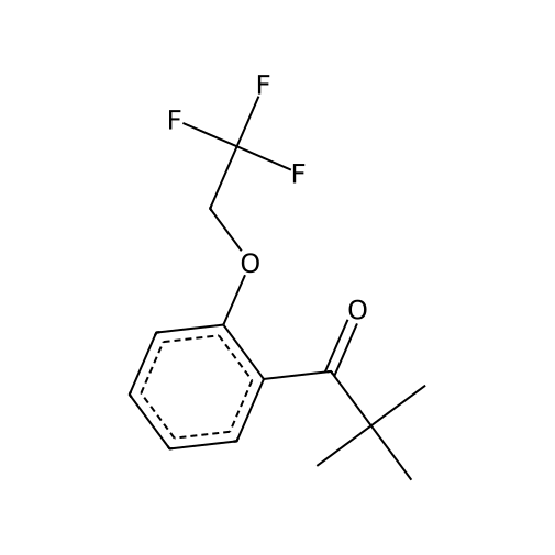 CC(C)(C)C(=O)c1ccccc1OCC(F)(F)F